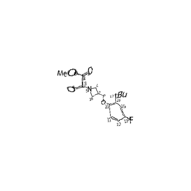 COC(=O)C(=O)N1CC(COc2ccc(F)cc2C(C)(C)C)C1